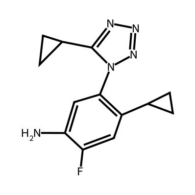 Nc1cc(-n2nnnc2C2CC2)c(C2CC2)cc1F